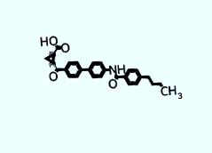 CCCCc1ccc(C(=O)Nc2ccc(-c3ccc(C(=O)[C@@H]4C[C@H]4C(=O)O)cc3)cc2)cc1